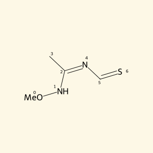 CON/C(C)=N\C=S